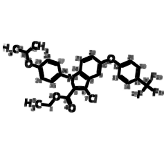 CCOC(=O)c1c(Cl)c2cc(Oc3ccc(C(F)(F)F)cc3)ccc2n1-c1ccc(OC(C)C)cc1